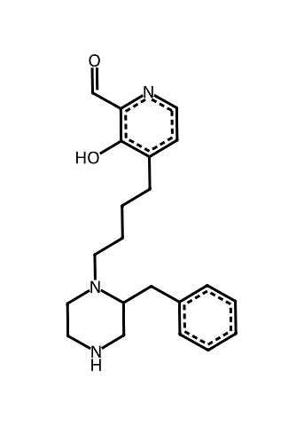 O=Cc1nccc(CCCCN2CCNCC2Cc2ccccc2)c1O